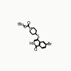 CC(C)(C)OC(=O)N1CCC(Sc2c[nH]c(=O)c3ccc(Br)cc23)CC1